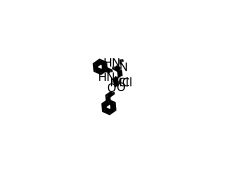 Cl.Cl.O=C(OCCc1ccccc1)[C@H](Cc1c[nH]cn1)NCc1ccccc1